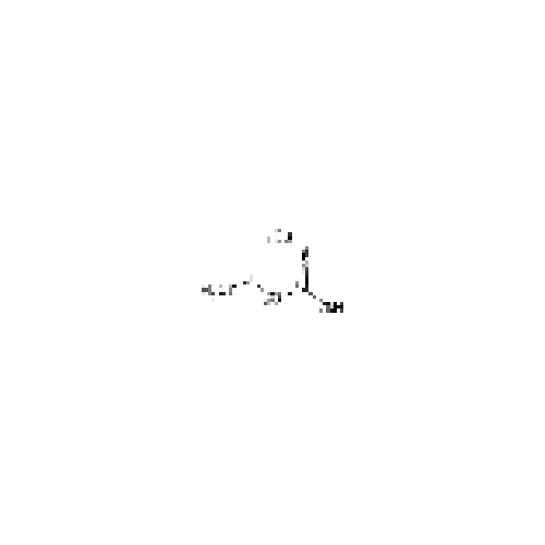 CCOC(=S)S.[Cu]